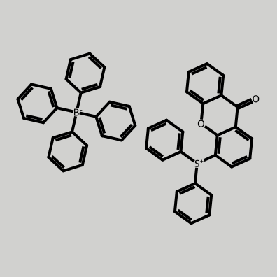 O=c1c2ccccc2oc2c([S+](c3ccccc3)c3ccccc3)cccc12.c1ccc([B-](c2ccccc2)(c2ccccc2)c2ccccc2)cc1